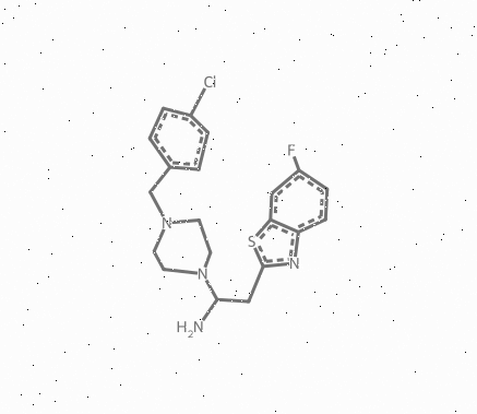 NC(Cc1nc2ccc(F)cc2s1)N1CCN(Cc2ccc(Cl)cc2)CC1